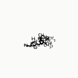 COCOc1c(C(C)(C)C)cc(/C=C2\SC=CN(CC#N)C2=O)cc1C(C)(C)C